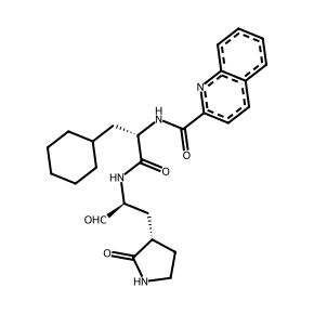 O=C[C@H](C[C@@H]1CCNC1=O)NC(=O)[C@H](CC1CCCCC1)NC(=O)c1ccc2ccccc2n1